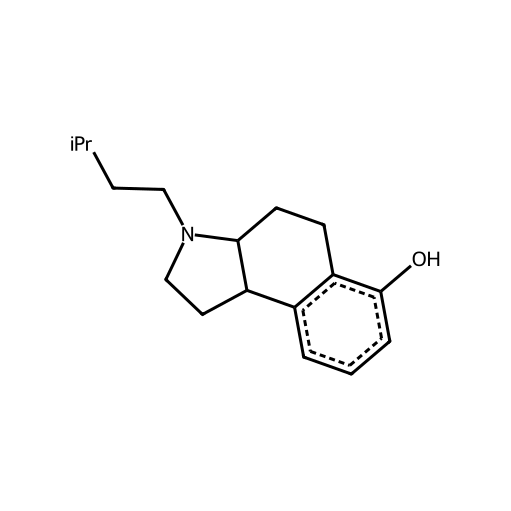 CC(C)CCN1CCC2c3cccc(O)c3CCC21